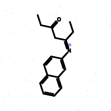 CCC(=O)C/C(CC)=N\c1ccc2ccccc2c1